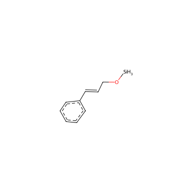 [SiH3]OCC=Cc1ccccc1